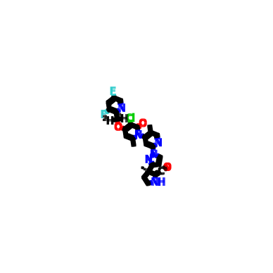 [2H]C([2H])(Oc1cc(C)n(-c2cc(-n3ccc([C@]4(C)CCNC4=C=O)n3)ncc2C)c(=O)c1Cl)c1ncc(F)cc1F